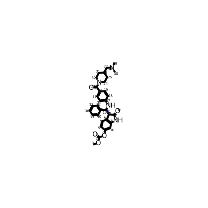 COC(=O)Oc1ccc2c(c1)NC(=O)/C2=C(\Nc1ccc(C(=O)N2CCC(CN(C)C)CC2)cc1)c1ccccc1